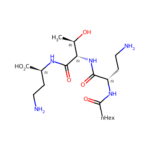 CCCCCCC(=O)N[C@@H](CCN)C(=O)N[C@H](C(=O)N[C@@H](CCN)C(=O)O)[C@@H](C)O